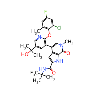 Cc1cc(F)cc(Cl)c1Oc1ncc(C(C)(C)O)cc1-c1cn(C)c(=O)c2[nH]c(C(=O)NC(C)(C)C(F)(F)F)cc12